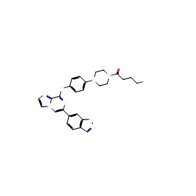 O=C(O)CCCC(=O)N1CCN(c2ccc(Nc3nc(-c4ccc5cn[nH]c5c4)cn4ccnc34)cc2)CC1